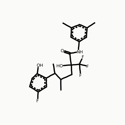 Cc1cc(C)cc(NC(=O)C(O)(CC(C)C(C)c2cc(F)ccc2O)C(F)(F)F)c1